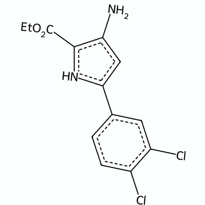 CCOC(=O)c1[nH]c(-c2ccc(Cl)c(Cl)c2)cc1N